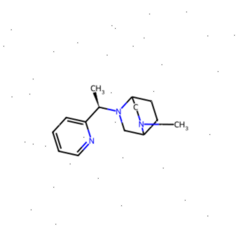 C[C@H](c1ccccn1)N1CC2CCC1CN2C